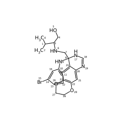 CC(C)C(CO)NCC1(Nc2cccc(Br)c2)NC=Nc2cc3c(cc21)OCCO3